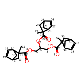 CC1(C(=O)OCC(COC(=O)C2(C)CC3C=CC2C3)OC(=O)C2(C)CC3C=CC2C3)CC2C=CC1C2